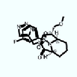 COC[C@H]1CN(Cc2cnn[nH]2)C(=O)[C@@H]2CCC[C@H]1N2S(=O)(=O)c1cccc(F)c1